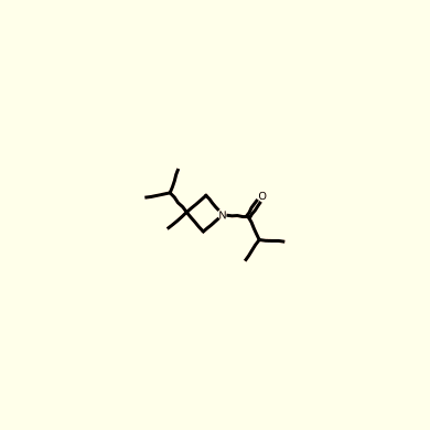 CC(C)C(=O)N1CC(C)(C(C)C)C1